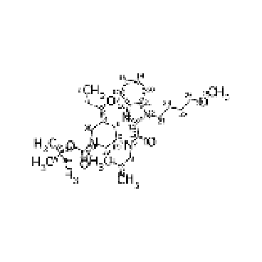 CCC(=O)C1C[C@H](N(CC(C)C)C(=O)c2nc3ccccc3n2CCCCOC)CN(C(=O)OC(C)(C)C)C1